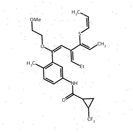 C/C=C\SC(=C\C)/C(=C\CC)/C=C(/OCCOC)c1cc(NC(=O)C2CC2C(F)(F)F)ccc1C